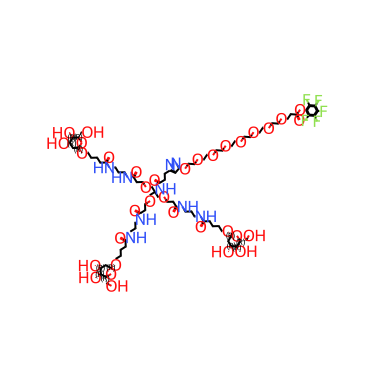 O=C(CCCCO[C@H]1C[C@@H](O)[C@@H](O)[C@@H](CO)O1)NCCCNC(=O)CCOCC(COCCC(=O)NCCCNC(=O)CCCCO[C@H]1C[C@@H](O)[C@@H](O)[C@@H](CO)O1)(COCCC(=O)NCCCNC(=O)CCCCO[C@H]1C[C@@H](O)[C@@H](O)[C@@H](CO)O1)NC(=O)CCC1=CC(OCCOCCOCCOCCOCCOCCOCCOCCC(=O)Oc2c(F)c(F)c(F)c(F)c2F)N=N1